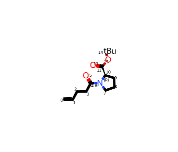 C=CCCC(=O)N1CCC[C@@H]1C(=O)OC(C)(C)C